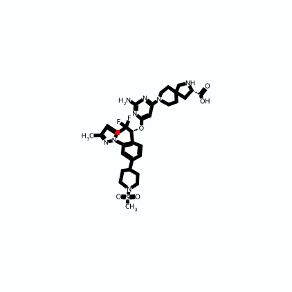 Cc1ccn(-c2cc(C3CCN(S(C)(=O)=O)CC3)ccc2[C@@H](Oc2cc(N3CCC4(CC3)CN[C@H](C(=O)O)C4)nc(N)n2)C(F)(F)F)n1